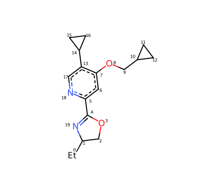 CCC1COC(c2cc(OCC3CC3)c(C3CC3)cn2)=N1